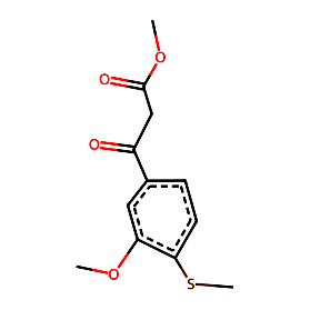 COC(=O)CC(=O)c1ccc(SC)c(OC)c1